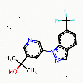 CC(C)(O)c1cncc(-n2ncc3ccc(C(F)(F)F)cc32)c1